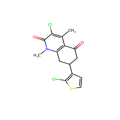 Cc1c2c(n(C)c(=O)c1Cl)CC(c1ccsc1Cl)CC2=O